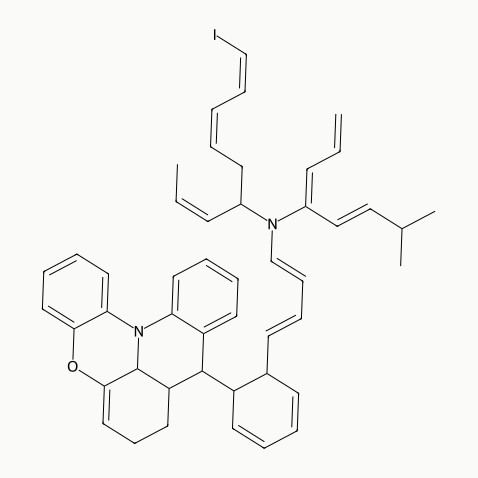 C=C/C=C(\C=C\C(C)C)N(/C=C/C=C/C1C=CC=CC1C1c2ccccc2N2c3ccccc3OC3=CCCC1C32)C(/C=C\C)C/C=C\C=C/I